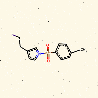 Cc1ccc(S(=O)(=O)n2ccc(CCI)c2)cc1